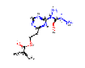 C=C(C)C(=O)OCCc1ncnc(N(N)C(=O)NN)n1